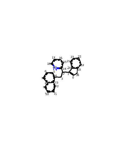 C1=C(C(Cc2cccc3ccccc23)c2ccccn2)c2ccccc2C1